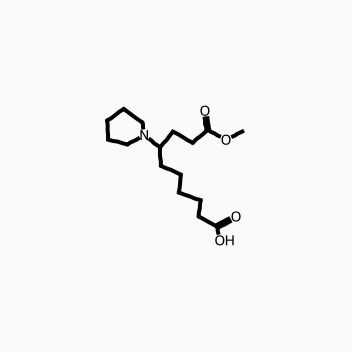 COC(=O)CCC(CCCCCC(=O)O)N1CCCCC1